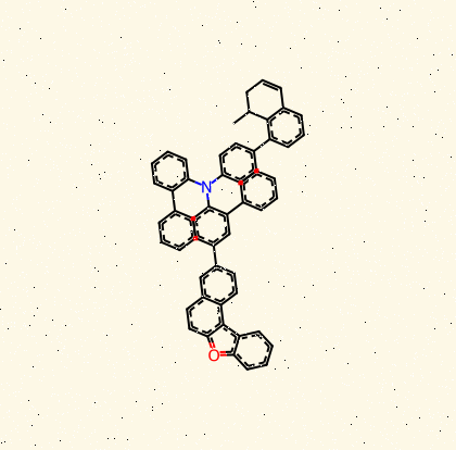 CC1CC=Cc2cccc(-c3ccc(N(c4ccccc4-c4ccccc4)c4ccc(-c5ccc6c(ccc7oc8ccccc8c76)c5)cc4-c4ccccc4)cc3)c21